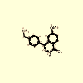 COc1ccc2c(=O)[nH]nc(-c3ccc(CN)cc3)c2c1